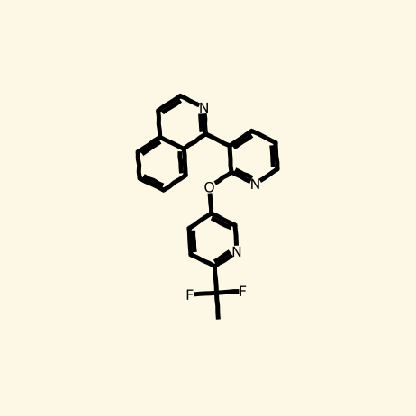 CC(F)(F)c1ccc(Oc2ncccc2-c2nccc3ccccc23)cn1